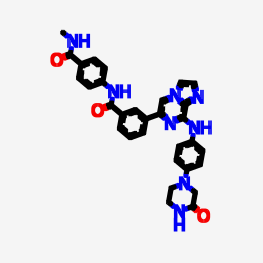 CNC(=O)c1ccc(NC(=O)c2cccc(-c3cn4ccnc4c(Nc4ccc(N5CCNC(=O)C5)cc4)n3)c2)cc1